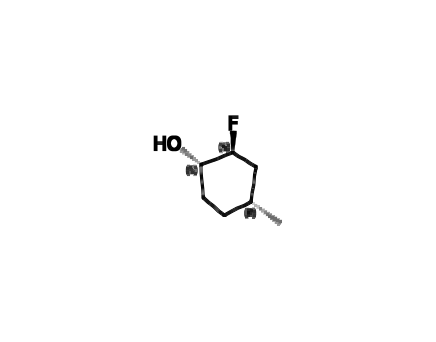 C[C@@H]1CC[C@H](O)[C@@H](F)C1